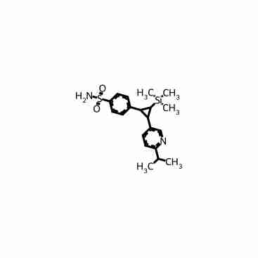 CC(C)c1ccc(C2C(c3ccc(S(N)(=O)=O)cc3)C2[Si](C)(C)C)cn1